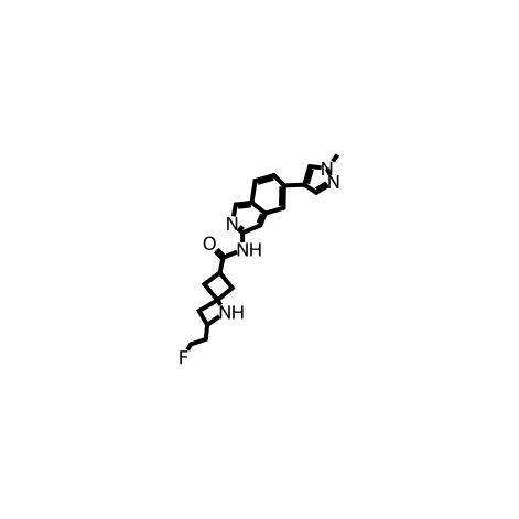 Cn1cc(-c2ccc3cnc(NC(=O)C4CC5(CC(CCF)N5)C4)cc3c2)cn1